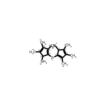 CC1=C(C)C([SiH3])[C]([Zr][C]2=C(C)C(C)=C(C)C2[SiH3])=C1C